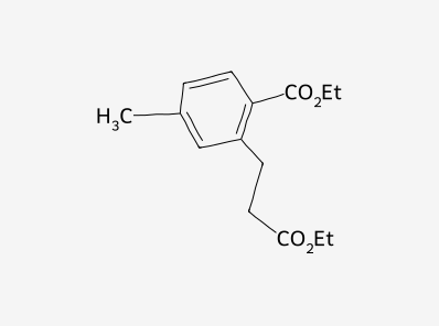 CCOC(=O)CCc1cc(C)ccc1C(=O)OCC